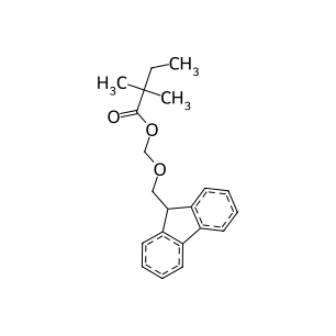 CCC(C)(C)C(=O)OCOCC1c2ccccc2-c2ccccc21